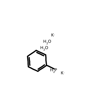 O.O.Pc1ccccc1.[K].[K]